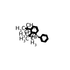 CC(C)(C)c1cccc(Pc2ccccc2)c1C(C)(C)C